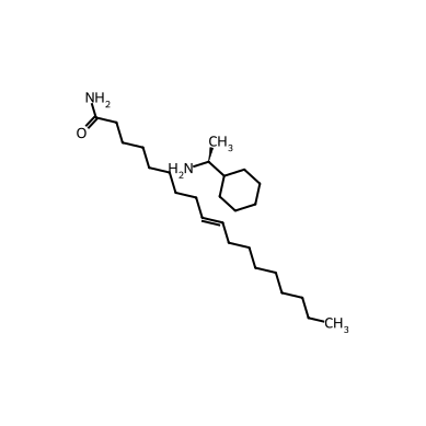 CCCCCCCCC=CCCCCCCCC(N)=O.C[C@H](N)C1CCCCC1